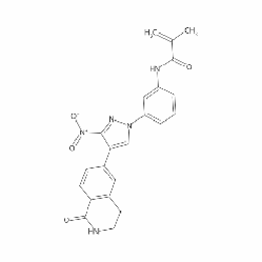 C=C(C)C(=O)Nc1cccc(-n2cc(-c3ccc4c(c3)CCNC4=O)c([N+](=O)[O-])n2)c1